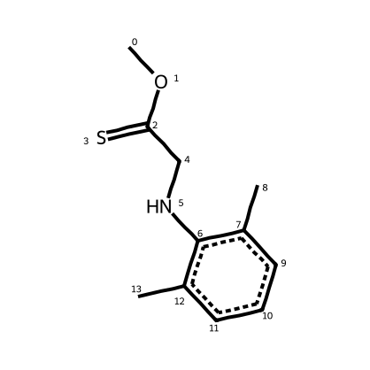 COC(=S)CNc1c(C)cccc1C